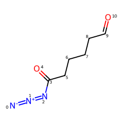 [N-]=[N+]=NC(=O)CCCCC=O